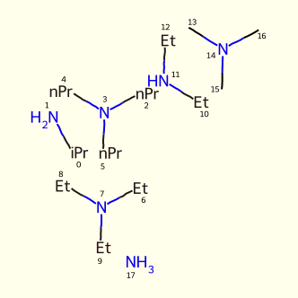 CC(C)N.CCCN(CCC)CCC.CCN(CC)CC.CCNCC.CN(C)C.N